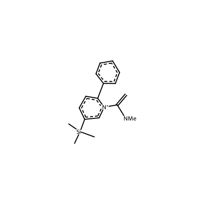 C=C(NC)[n+]1cc([Si](C)(C)C)ccc1-c1ccccc1